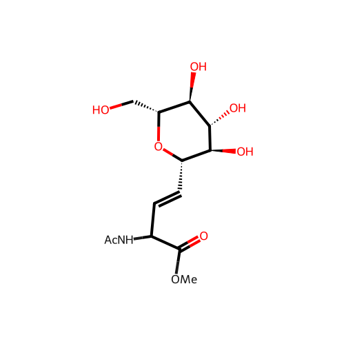 COC(=O)C(C=C[C@@H]1O[C@H](CO)[C@@H](O)[C@H](O)[C@H]1O)NC(C)=O